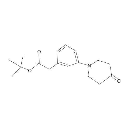 CC(C)(C)OC(=O)Cc1cccc(N2CCC(=O)CC2)c1